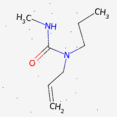 C=CCN(CCC)C(=O)NC